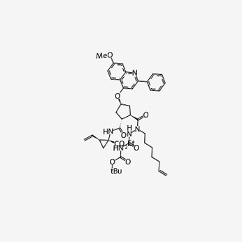 C=CCCCCCN(NC(=O)NC(=O)OC(C)(C)C)C(=O)[C@@H]1C[C@H](Oc2cc(-c3ccccc3)nc3cc(OC)ccc23)C[C@H]1C(=O)N[C@]1(C(=O)OCC)C[C@H]1C=C